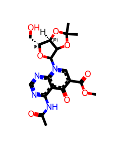 COC(=O)c1cn(C2O[C@H](CO)[C@H]3OC(C)(C)OC23)c2ncnc(NC(C)=O)c2c1=O